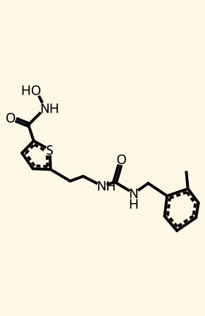 Cc1ccccc1CNC(=O)NCCc1ccc(C(=O)NO)s1